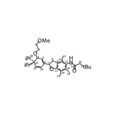 COCCOC1C=C(C2Cc3c(C)c(NC(=O)CC(C)(C)C)c(C)c(C)c3O2)C=CC1(C(C)C)C(C)C